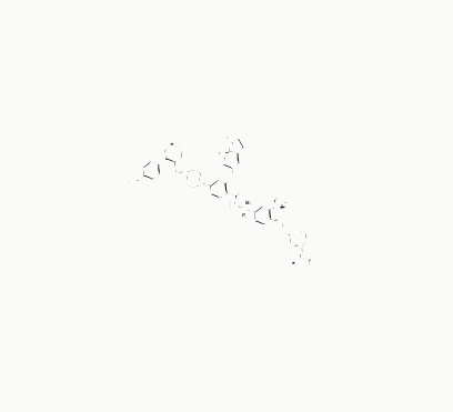 CC1(C)CCC(CN2CCN(c3ccc(C(=O)NS(=O)(=O)c4ccc(NCC5CN(C(C(=O)O)C(C)(C)C)CCO5)c([N+](=O)[O-])c4)c(Oc4cnc5[nH]ccc5c4)c3)CC2)=C(c2ccc(Cl)cc2)C1